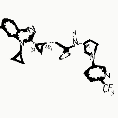 O=C(C[C@@H]1C[C@@H]1c1nc2ccccc2n1C1CC1)N[C@@H]1CCN(c2ccc(C(F)(F)F)nc2)C1